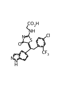 O=C(O)CNC1=NC(=O)C(=C(Cc2ccc(Cl)cc2C(F)(F)F)c2ccc3[nH]ncc3c2)S1